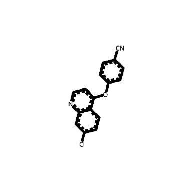 N#Cc1ccc(Oc2ccnc3cc(Cl)ccc23)cc1